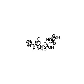 O=P(O)(O)CP(=O)(O)CC[C@H]1O[C@@H](n2cnc3c(NC4CN5CCC56CN46)nc(Cl)nc32)C(O)C1O